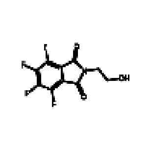 O=C1c2c(F)c(F)c(F)c(F)c2C(=O)N1CCO